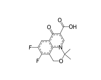 CC1(C)OCc2c(F)c(F)cc3c(=O)c(C(=O)O)cn1c23